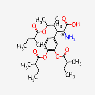 CCC(C)C(=O)Oc1ccc(C(C(C)C(C)OC(=O)C(C)CC)[C@H](N)C(=O)O)cc1OC(=O)C(C)CC